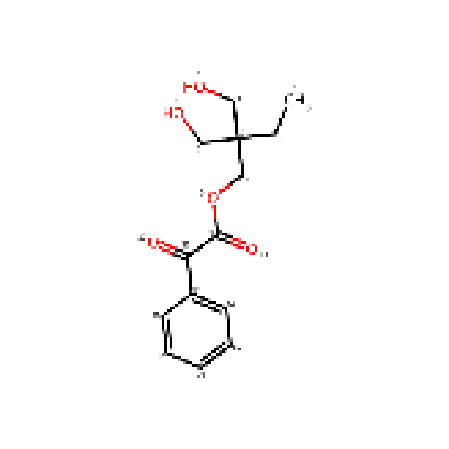 CCC(CO)(CO)COC(=O)C(=O)c1ccccc1